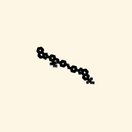 O=S(=O)(O)c1ccc2c(ccc3nn(-c4ccc(N=Nc5ccc(C=Cc6ccc(-n7nc8ccc9ccccc9c8n7)cc6S(=O)(=O)O)cc5)cc4)nc32)c1